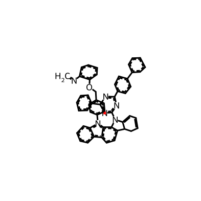 C=Nc1ccccc1OCc1ccc(-n2c3ccccc3c3ccc4c(c32)N(c2nc(-c3ccccc3)nc(-c3ccc(-c5ccccc5)cc3)n2)C2=CC=CCC24)cc1